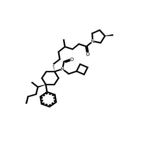 CCCC(C)[C@]1(c2ccccc2)CC[C@](CCCC(C)CCC(=O)N2CC[C@@H](C)C2)(N(C=O)CC2CCC2)CC1